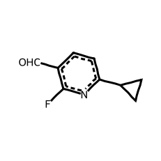 O=Cc1ccc(C2CC2)nc1F